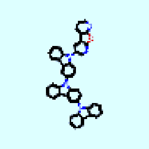 c1cnc2oc3ncc(-n4c5ccccc5c5cc(-n6c7ccccc7c7cc(-n8c9ccccc9c9ccccc98)ccc76)ccc54)cc3c2c1